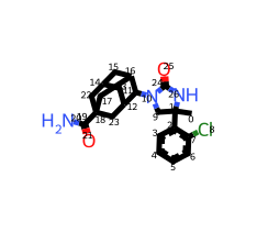 CC1(c2ccccc2Cl)CN(C2C3CC4CC2CC(C(N)=O)(C4)C3)C(=O)N1